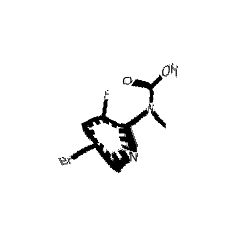 CN(C(=O)O)c1ncc(Br)cc1F